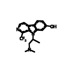 CC(CN(C)C)n1c2cc(O)ccc2c2ccnc(C(F)(F)F)c21